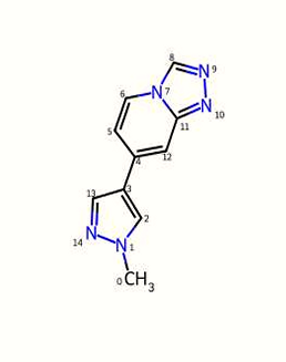 Cn1cc(-c2ccn3cnnc3c2)cn1